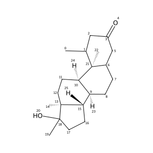 CC1CC(=O)CC2CC[C@@H]3[C@@H](CC[C@@]4(C)[C@H]3CCC4(C)O)[C@@]12C